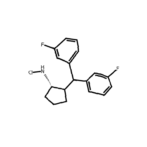 Fc1cccc(C(c2cccc(F)c2)C2CCC[C@@H]2NCl)c1